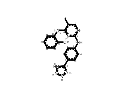 Cc1cnc(Nc2ccc(-c3nnn[nH]3)cc2)nc1Nc1ccccc1Cl